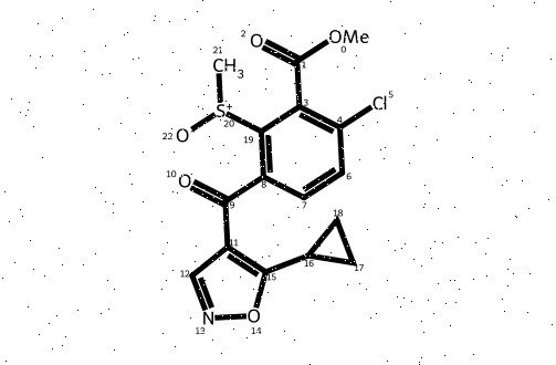 COC(=O)c1c(Cl)ccc(C(=O)c2cnoc2C2CC2)c1[S+](C)[O-]